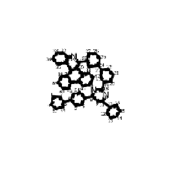 c1ccc(-c2ccc(-c3cc(-c4ccccc4)nc(-c4cccc(-c5cccc(-c6nc7ccccc7c7c8ccccc8c8ccccc8c67)c5)c4)n3)cc2)cc1